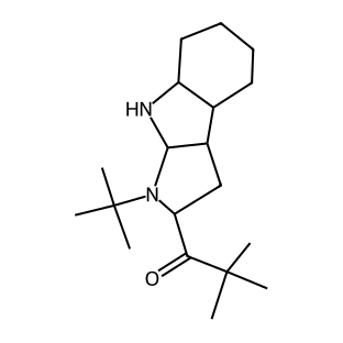 CC(C)(C)C(=O)C1CC2C3CCCCC3NC2N1C(C)(C)C